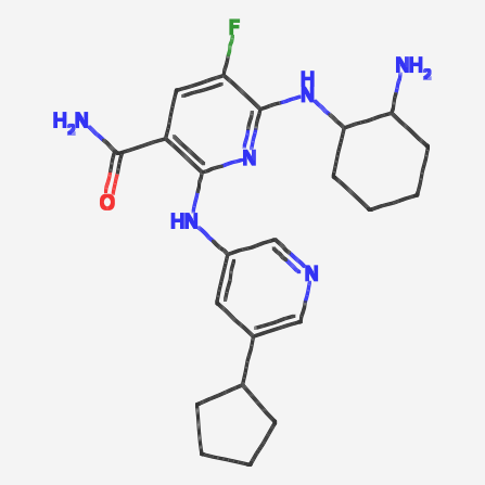 NC(=O)c1cc(F)c(NC2CCCCC2N)nc1Nc1cncc(C2CCCC2)c1